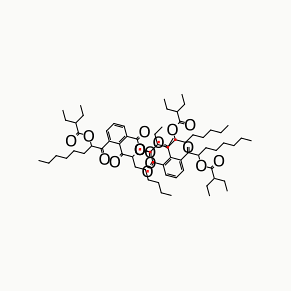 CCCCCCC(OC(=O)C(CC)CC)C(=O)c1cccc(C(=O)OOC(=O)c2cccc(C(=O)C(CCCCCC)OC(=O)C(CC)CC)c2C(=O)C(CCCCCC)OC(=O)C(CC)CC)c1C(=O)C(CCCCCC)OC(=O)C(CC)CC